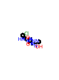 Cn1c(/C(=N/O)c2ccccn2)nc2c1c(=O)n(Cc1cc3c(Cl)cccc3[nH]1)c(=O)n2C